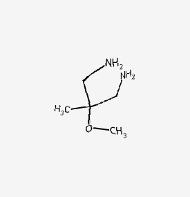 COC(C)(CN)CN